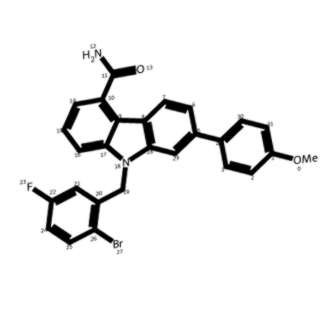 COc1ccc(-c2c[c]c3c4c(C(N)=O)cccc4n(Cc4cc(F)ccc4Br)c3c2)cc1